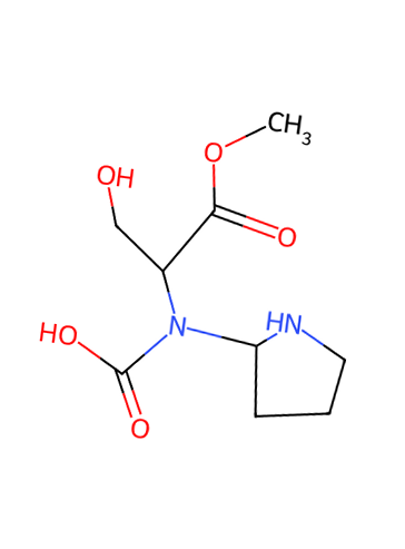 COC(=O)C(CO)N(C(=O)O)C1CCCN1